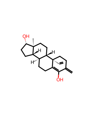 C=C[C@]12CCC(=C)C(O)=C1CC[C@H]1[C@@H]3CC[C@H](O)[C@@]3(C)CC[C@@H]12